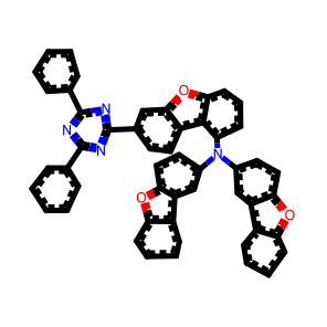 c1ccc(-c2nc(-c3ccccc3)nc(-c3ccc4c(c3)oc3cccc(N(c5ccc6oc7ccccc7c6c5)c5ccc6oc7ccccc7c6c5)c34)n2)cc1